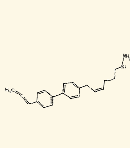 C=C=Cc1ccc(-c2ccc(C/C=C\CCCBN)cc2)cc1